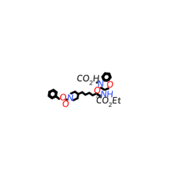 CCOC(=O)[C@H](CCCCCC1CCN(C(=O)OCc2ccccc2)CC1)NC1COc2ccccc2N(CC(=O)O)C1=O